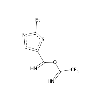 CCc1ncc(C(=N)OC(=N)C(F)(F)F)s1